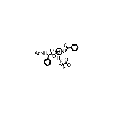 CC(=O)NC(C(=O)O[C@H]1C[N+]2(CC(=O)c3ccccc3)CCC1CC2)c1ccccc1.O=C([O-])C(F)(F)F